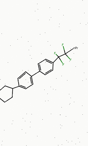 CCCC(F)(F)C(F)(F)c1ccc(-c2ccc(C3CCC(CC)CC3)cc2)cc1